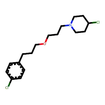 Clc1ccc(CCCOCCCN2CCC(Cl)CC2)cc1